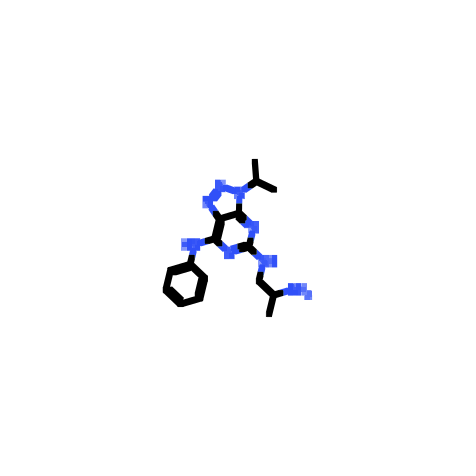 CC(N)CNc1nc(Nc2ccccc2)c2nnn(C(C)C)c2n1